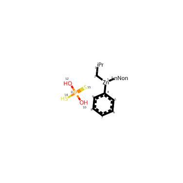 CCCCCCCC[CH2][Zn]([CH2]C(C)C)[c]1ccccc1.OP(O)(=S)S